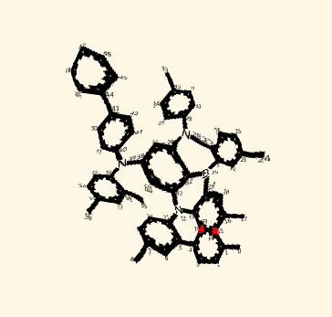 Cc1ccc(-c2cc(C)ccc2N2c3ccc(C)cc3B3c4cc(C)ccc4N(c4ccc(C)cc4)c4cc(N(c5ccc(-c6ccccc6)cc5)c5ccc(C)cc5C)cc2c43)cc1